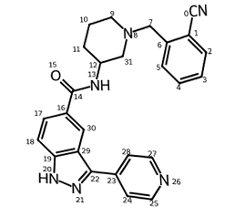 N#Cc1ccccc1CN1CCCC(NC(=O)c2ccc3[nH]nc(-c4ccncc4)c3c2)C1